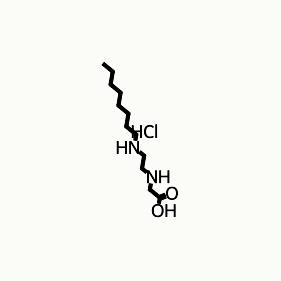 CCCCCCCCNCCNCC(=O)O.Cl